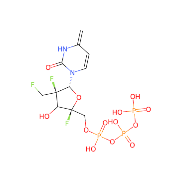 C=C1C=CN([C@@H]2O[C@](F)(COP(=O)(O)OP(=O)(O)OP(=O)(O)O)C(O)[C@]2(F)CF)C(=O)N1